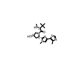 CN[C@H](C(=O)N1C[C@H](O)C[C@H]1c1nc(-c2scnc2C)cn1C)C(C)(C)C